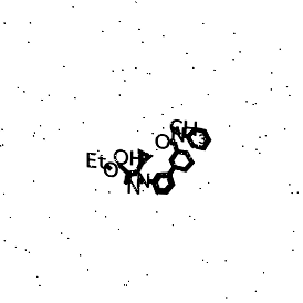 CCOC(O)c1cnn(-c2cccc(C3CCCC(C(=O)N(C)C4CCCCC4)C3)c2)c1C1CC1